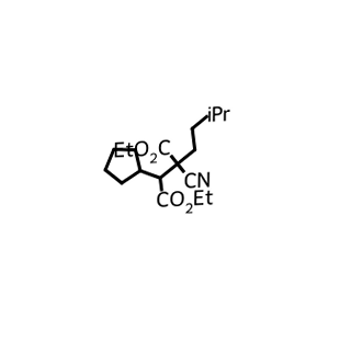 CCOC(=O)C(C1CCCC1)C(C#N)(CCC(C)C)C(=O)OCC